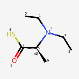 CCN(CC)[C@@H](C)C(=O)S